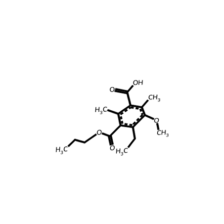 CCCOC(=O)c1c(C)c(C(=O)O)c(C)c(OC)c1CC